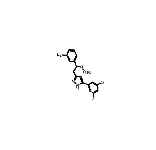 N#Cc1cccc(C(Cc2cc(-c3cc(F)cc(Cl)c3)[nH]n2)OC=O)c1